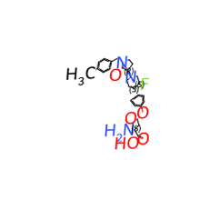 Cc1ccc(CN2CC[C@@H](N3CC[C@@H](c4ccc(OC(=O)C[C@H](N)C(=O)O)cc4)[C@H](F)C3)C2=O)cc1